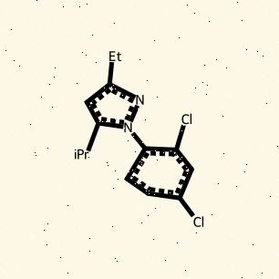 [CH2]Cc1cc(C(C)C)n(-c2ccc(Cl)cc2Cl)n1